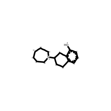 Oc1cccc2c1CC(N1CCCCCC1)CC2